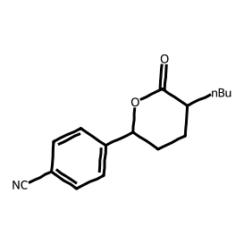 CCCCC1CCC(c2ccc(C#N)cc2)OC1=O